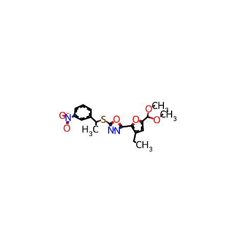 CCc1cc(C(OC)OC)oc1-c1nnc(SC(C)c2cccc([N+](=O)[O-])c2)o1